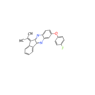 N#CC(C#N)=C1c2ccccc2-c2nc3cc(Oc4ccc(F)cc4)ccc3nc21